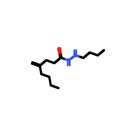 C=C(CCCC)CCC(=O)NNCCCC